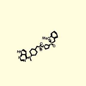 COc1ccccc1CS(=O)(=O)C1CCN(S(=O)(=O)CC2CCC(N(C)c3ncnc4[nH]ccc34)CC2)C1